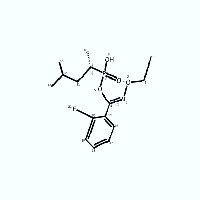 CCO/N=C(\OP(=O)(O)[C@@H](C)CC(C)C)c1ccccc1F